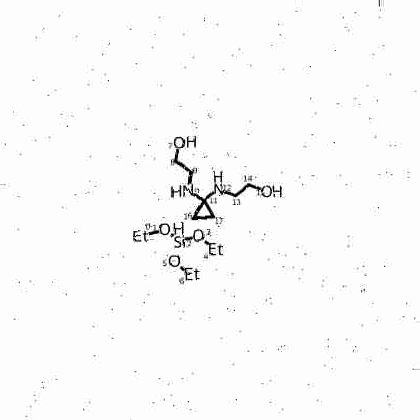 CCO[SiH](OCC)OCC.OCCNC1(NCCO)CC1